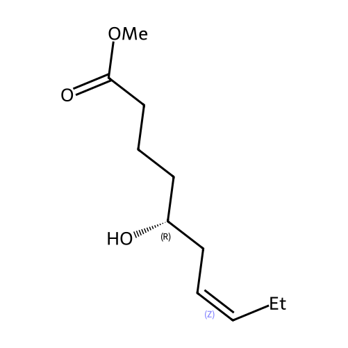 CC/C=C\C[C@H](O)CCCC(=O)OC